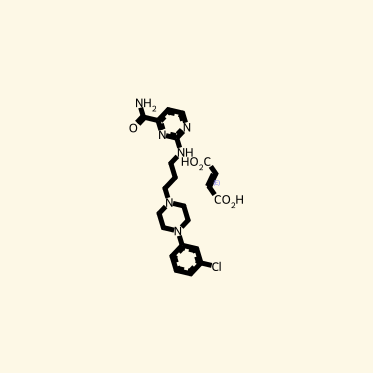 NC(=O)c1ccnc(NCCCN2CCN(c3cccc(Cl)c3)CC2)n1.O=C(O)/C=C/C(=O)O